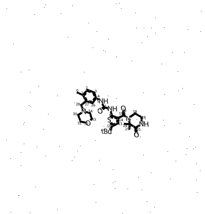 Cc1ccc(NC(=O)Nc2sc(C(C)(C)C)cc2C(=O)N2CCNC(=O)C2(C)C)cc1CN1CCOCC1